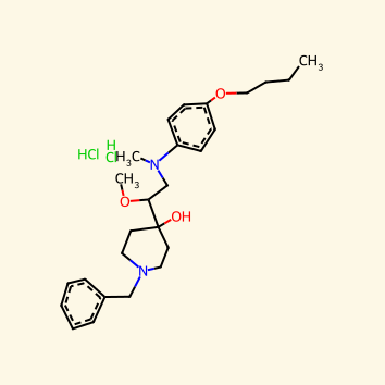 CCCCOc1ccc(N(C)CC(OC)C2(O)CCN(Cc3ccccc3)CC2)cc1.Cl.Cl